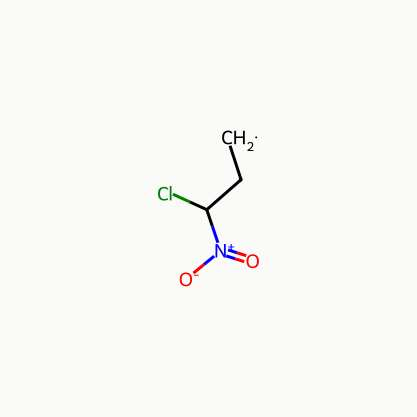 [CH2]CC(Cl)[N+](=O)[O-]